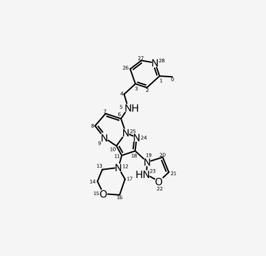 Cc1cc(CNc2ccnc3c(N4CCOCC4)c(N4C=CON4)nn23)ccn1